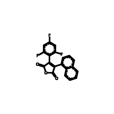 O=C1OC(=O)C(c2cccc3ccccc23)=C1c1c(F)cc(F)cc1F